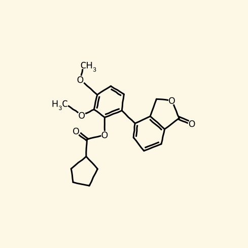 COc1ccc(-c2cccc3c2COC3=O)c(OC(=O)C2CCCC2)c1OC